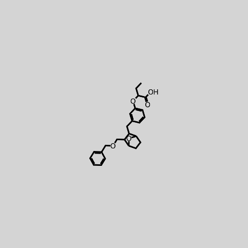 CCC(Oc1cccc(CC2C3CCC(O3)C2COCc2ccccc2)c1)C(=O)O